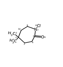 CC1(C)CCC(=O)N(Cl)CC1